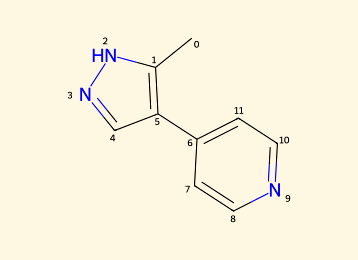 Cc1[nH]ncc1-c1ccncc1